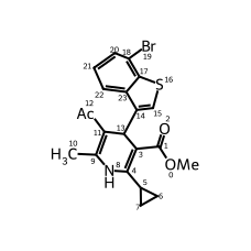 COC(=O)C1=C(C2CC2)NC(C)=C(C(C)=O)C1c1csc2c(Br)cccc12